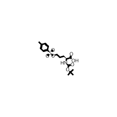 Cc1ccc(S(=O)(=O)OCCC[C@H](NC(=O)OC(C)(C)C)C(=O)O)cc1